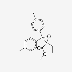 CCC1(C(=O)OC)OC1(c1ccc(C)cc1)c1ccc(C)cc1